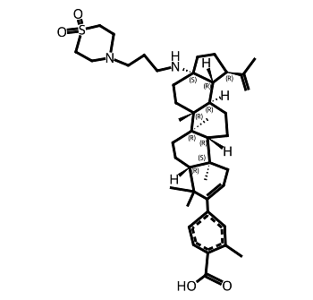 C=C(C)[C@@H]1CC[C@]2(NCCCN3CCS(=O)(=O)CC3)CC[C@]3(C)[C@H](CC[C@@H]4[C@@]5(C)CC=C(c6ccc(C(=O)O)c(C)c6)C(C)(C)[C@@H]5CC[C@]43C)[C@@H]12